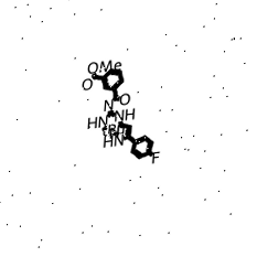 COC(=O)c1cccc(C(=O)/N=C(\Nc2cc(-c3ccc(F)cc3)[nH]n2)NC(C)(C)C)c1